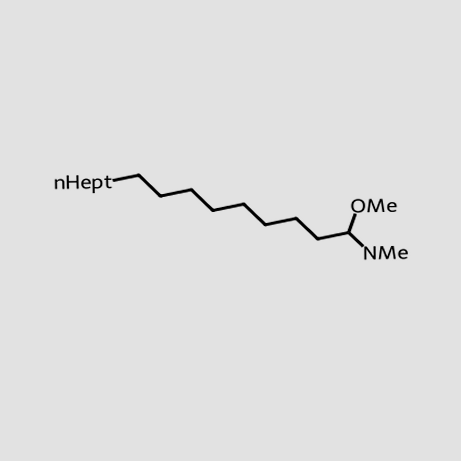 CCCCCCCCCCCCCCCC(NC)OC